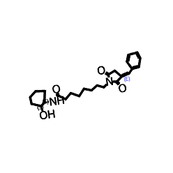 O=C(CCCCCCCN1C(=O)C/C(=C\c2ccccc2)C1=O)N[C@H]1CCCC[C@@H]1O